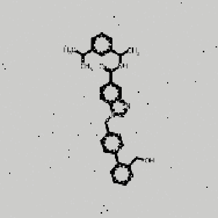 CC(C)c1cccc(C(C)NC(=O)c2ccc3c(c2)ncn3Cc2ccc(-c3ccccc3CO)cc2)c1